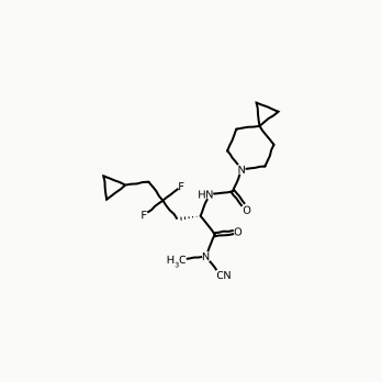 CN(C#N)C(=O)[C@H](CC(F)(F)CC1CC1)NC(=O)N1CCC2(CC1)CC2